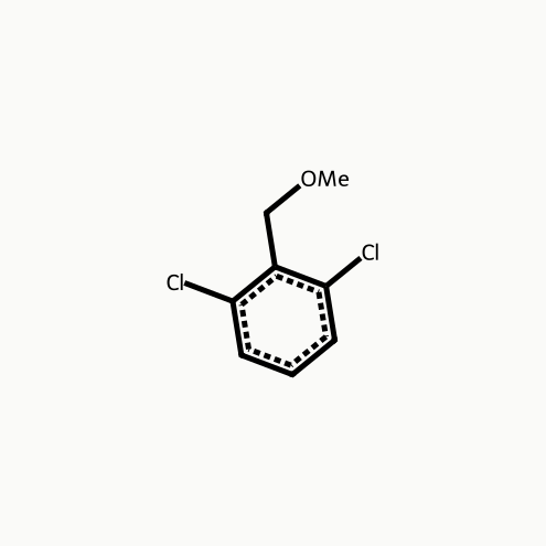 [CH2-][OH+]Cc1c(Cl)cccc1Cl